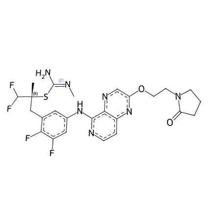 C/N=C(/N)S[C@](C)(Cc1cc(Nc2nccc3nc(OCCN4CCCC4=O)cnc23)cc(F)c1F)C(F)F